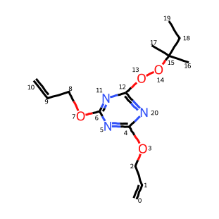 C=CCOc1nc(OCC=C)nc(OOC(C)(C)CC)n1